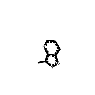 Cc1noc2cccnc12